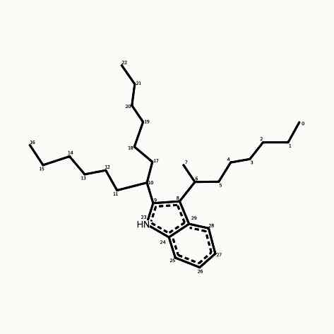 CCCCCCC(C)c1c(C(CCCCCC)CCCCCC)[nH]c2ccccc12